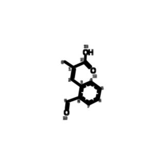 CC(=Cc1ccccc1C=O)C(=O)O